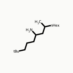 CCCCCCC(C)CC(N)CCCC(C)(C)C